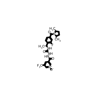 C[C@@H]1CC[C@H](C)N1C(=O)c1ccc([C@@H](C)NC(=O)NNC(=O)c2cc(C(F)(F)F)c[n+]([O-])c2)c(F)c1